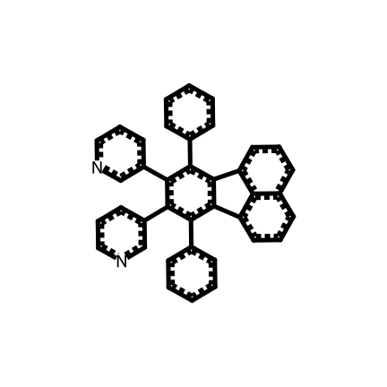 c1ccc(-c2c(-c3cccnc3)c(-c3cccnc3)c(-c3ccccc3)c3c2-c2cccc4cccc-3c24)cc1